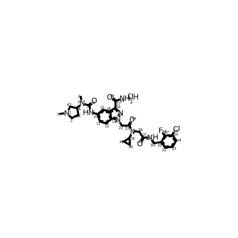 CN1CCC(N(C)C(=O)Nc2ccc3c(c2)c(C(N)=O)nn3CC(=O)N(CC(=O)NCc2cccc(Cl)c2F)C2CC2)C1.Cl